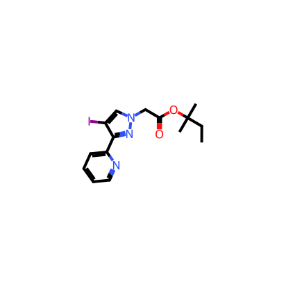 CCC(C)(C)OC(=O)Cn1cc(I)c(-c2ccccn2)n1